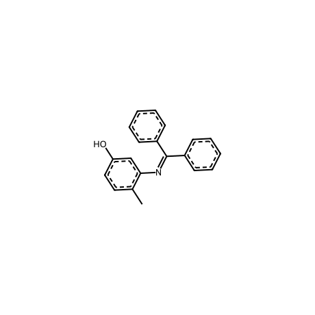 Cc1ccc(O)cc1N=C(c1ccccc1)c1ccccc1